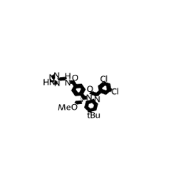 COCC[C@H](c1ccc(C(=O)NCc2nn[nH]n2)cc1)N1C(=O)C(c2cc(Cl)cc(Cl)c2)=NC12CCC(C(C)(C)C)CC2